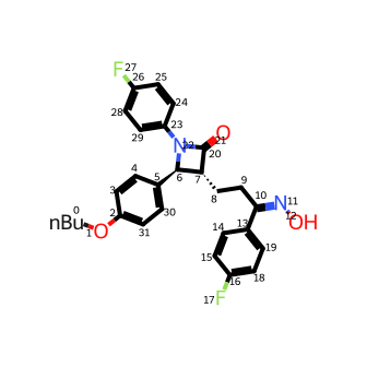 CCCCOc1ccc([C@@H]2[C@@H](CC/C(=N/O)c3ccc(F)cc3)C(=O)N2c2ccc(F)cc2)cc1